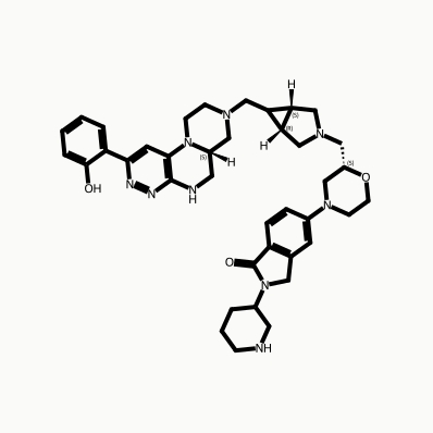 O=C1c2ccc(N3CCO[C@@H](CN4C[C@@H]5C(CN6CCN7c8cc(-c9ccccc9O)nnc8NC[C@H]7C6)[C@@H]5C4)C3)cc2CN1C1CCCNC1